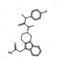 CC(C(=O)N(C)[C@@H]1CCc2c(CC(=O)O)c3ccccc3n2C1)c1ccc(F)cc1